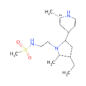 CCC1CC(C2CCN[C@@H](C)C2)N(CCNS(C)(=O)=O)C1C